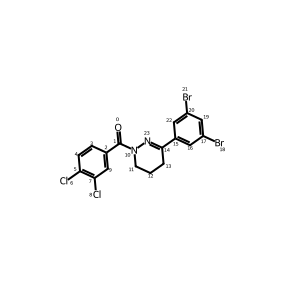 O=C(c1ccc(Cl)c(Cl)c1)N1CCCC(c2cc(Br)cc(Br)c2)=N1